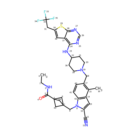 CCNC(=O)C12CC(Cn3c(C#N)cc4c(C)c(CN5CCC(Nc6ncnc7sc(CC(F)(F)F)cc67)CC5)ccc43)(C1)C2